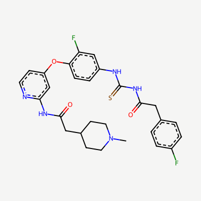 CN1CCC(CC(=O)Nc2cc(Oc3ccc(NC(=S)NC(=O)Cc4ccc(F)cc4)cc3F)ccn2)CC1